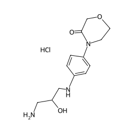 Cl.NCC(O)CNc1ccc(N2CCOCC2=O)cc1